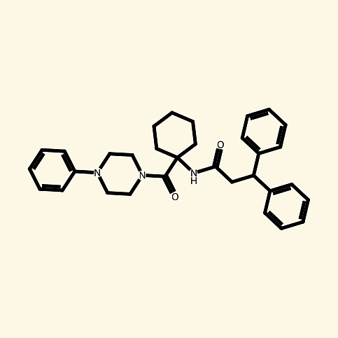 O=C(CC(c1ccccc1)c1ccccc1)NC1(C(=O)N2CCN(c3ccccc3)CC2)CCCCC1